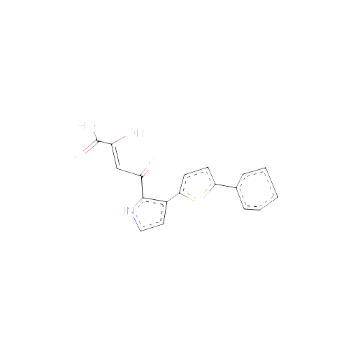 O=C(O)C(O)=CC(=O)c1[nH]ccc1-c1ccc(-c2ccccc2)s1